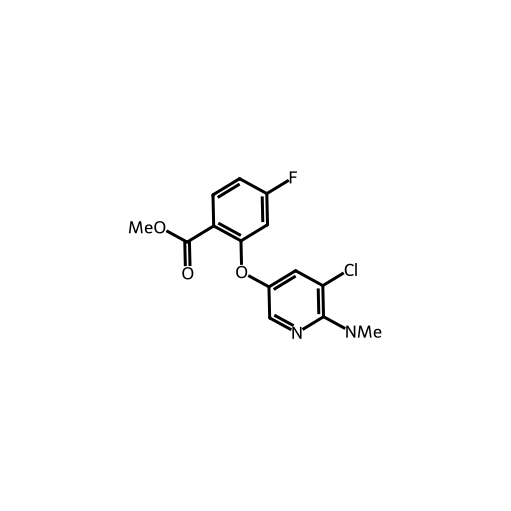 CNc1ncc(Oc2cc(F)ccc2C(=O)OC)cc1Cl